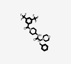 O=C(NC1CCN(C(=O)c2cc(C(F)(F)F)cc(C(F)(F)F)c2)CC1)[C@@H](Cc1ccccc1)N1CCOCC1